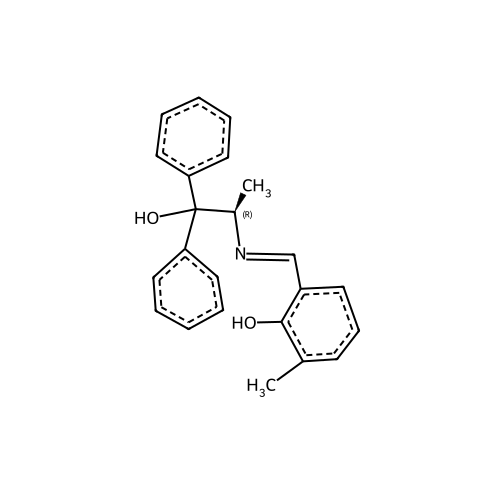 Cc1cccc(C=N[C@H](C)C(O)(c2ccccc2)c2ccccc2)c1O